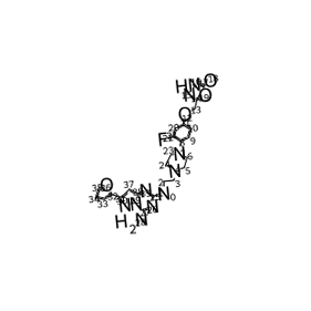 CN(CCN1CCN(c2ccc(OCc3n[nH]c(=O)o3)cc2F)CC1)c1nc(N)n2nc(-c3ccco3)cc2n1